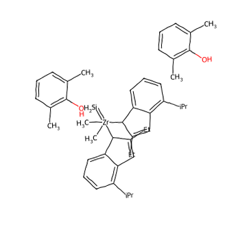 CCC1=Cc2c(C(C)C)cccc2[CH]1[Zr]([CH3])([CH3])(=[SiH2])[CH]1C(CC)=Cc2c(C(C)C)cccc21.Cc1cccc(C)c1O.Cc1cccc(C)c1O